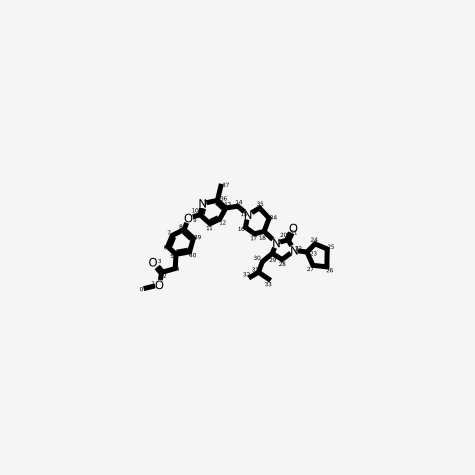 COC(=O)Cc1ccc(Oc2ccc(CN3CCC(N4C(=O)N(C5CCCC5)CC4CC(C)C)CC3)c(C)n2)cc1